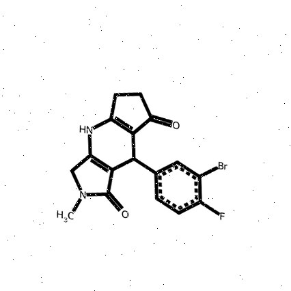 CN1CC2=C(C1=O)C(c1ccc(F)c(Br)c1)C1=C(CCC1=O)N2